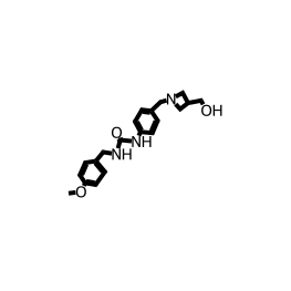 COc1ccc(CNC(=O)Nc2ccc(CN3CC(CO)C3)cc2)cc1